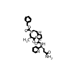 C[C@H]1CN(C(=O)OCc2ccccc2)CC[C@H]2CC[C@@H](C(=O)N[C@@H](CCC(N)=O)c3ccccn3)N2C1=O